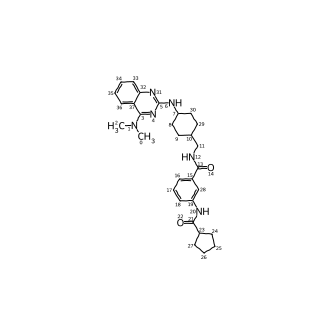 CN(C)c1nc(NC2CCC(CNC(=O)c3cccc(NC(=O)C4CCCC4)c3)CC2)nc2ccccc12